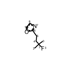 CC(C)(F)CCc1nc[c]o1